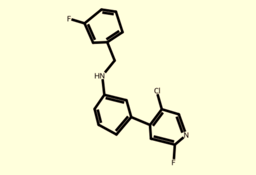 Fc1cccc(CNc2cccc(-c3cc(F)ncc3Cl)c2)c1